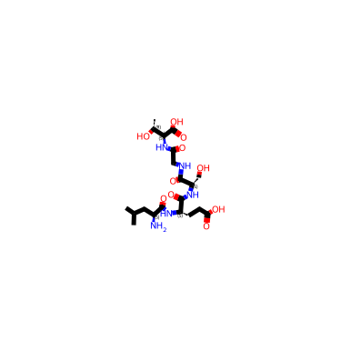 CC(C)C[C@H](N)C(=O)N[C@@H](CCC(=O)O)C(=O)N[C@@H](CO)C(=O)NCC(=O)N[C@H](C(=O)O)[C@@H](C)O